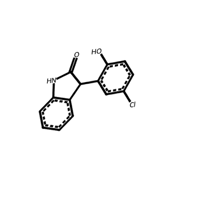 O=C1Nc2ccccc2C1c1cc(Cl)ccc1O